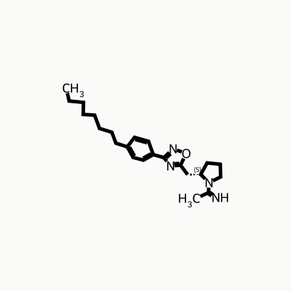 CCCCCCCCc1ccc(-c2noc(C[C@@H]3CCCN3C(C)=N)n2)cc1